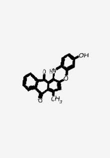 Cc1cc2oc3cc(O)ccc3[nH]c2c2c(=O)c3ccccc3c(=O)c12